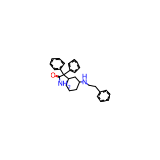 NC(=O)C(c1ccccc1)(c1ccccc1)C1CCCC(NCCc2ccccc2)C1